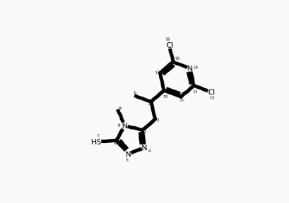 CC(Cc1nnc(S)n1C)c1cc(Cl)nc(Cl)c1